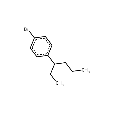 CCCC(CC)c1ccc(Br)cc1